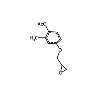 CC(=O)Oc1ccc(OCC2CO2)cc1C